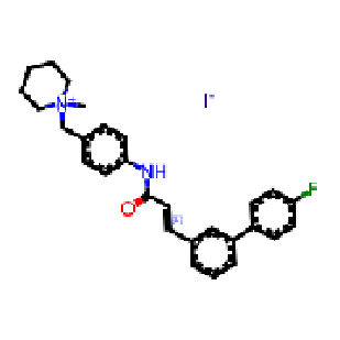 C[N+]1(Cc2ccc(NC(=O)/C=C/c3cccc(-c4ccc(F)cc4)c3)cc2)CCCCC1.[I-]